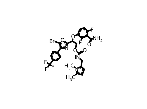 Cc1ccc(CNC(=O)OCC(Oc2ccc(F)c(C(N)=O)c2F)c2nc(-c3ccc(C(F)(F)F)cc3)c(Br)o2)n1C